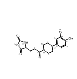 O=C1NC(=O)C(CCC(=O)N2CCN(c3ccc(Cl)c(Cl)c3)CC2)N1